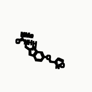 CNC(=O)NCc1cc2ccc(OCc3ccon3)cc2[nH]1